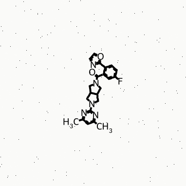 Cc1cc(C)nc(N2CC3CN(C(=O)c4cc(F)ccc4-c4ncco4)CC3C2)n1